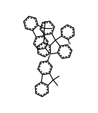 CC1(C)c2ccccc2-c2ccc(N(c3ccc4c(c3)C(C)(C)c3ccccc3-4)c3ccccc3C3(c4ccccc4Br)c4ccccc4-c4ccccc43)cc21